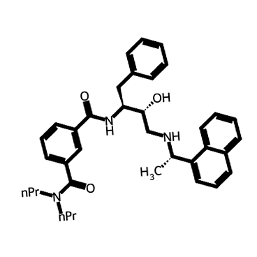 CCCN(CCC)C(=O)c1cccc(C(=O)N[C@@H](Cc2ccccc2)[C@H](O)CN[C@@H](C)c2cccc3ccccc23)c1